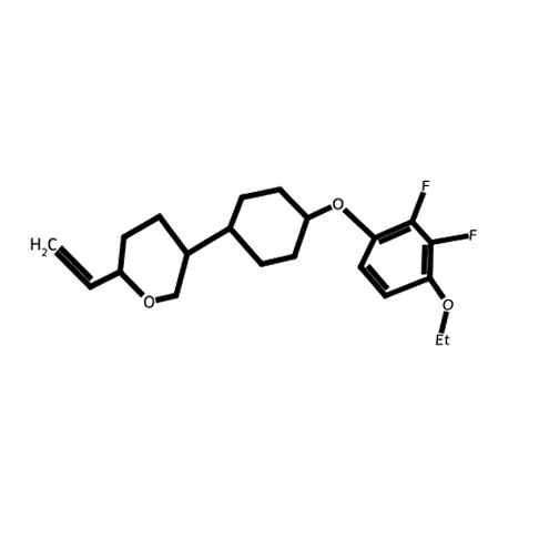 C=CC1CCC(C2CCC(Oc3ccc(OCC)c(F)c3F)CC2)CO1